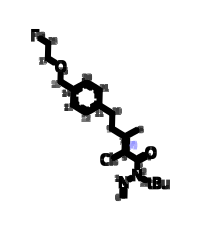 C=NN(C(=O)/C(Cl)=C(\C)CCc1ccc(COCCF)cc1)C(C)(C)C